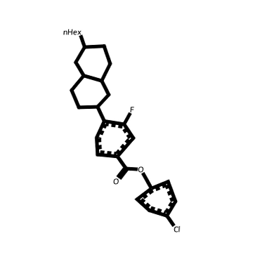 CCCCCCC1CCC2CC(c3ccc(C(=O)Oc4ccc(Cl)cc4)cc3F)CCC2C1